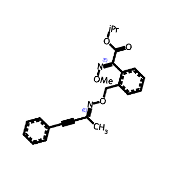 CO/N=C(/C(=O)OC(C)C)c1ccccc1CO/N=C(\C)C#Cc1ccccc1